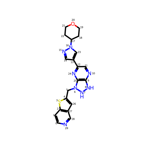 c1cc2sc(CN3NNc4ncc(-c5cnn(C6CCOCC6)c5)nc43)cc2cn1